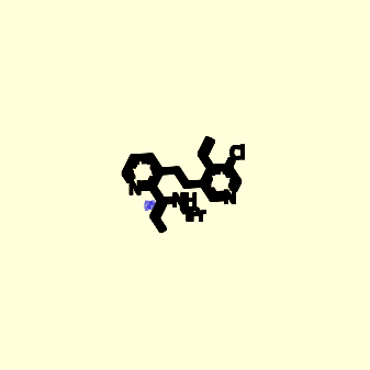 C=Cc1c(Cl)cncc1CCc1cccnc1/C(=C/C)NC(C)C